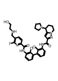 O=C(Nc1cccc(-c2cccc(NC(=O)c3cc4n(n3)CCCC4N3CCCC3)c2Cl)c1Cl)c1ccc(CNCCO)c(F)n1